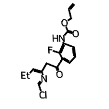 C=CCOC(=O)Nc1cccc(C(=O)CC(=C/CC)/N=C/Cl)c1F